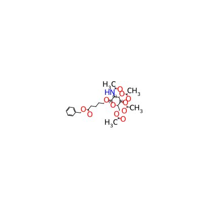 CC(=O)N[C@H]1C(OC(C)=O)[C@@H](OC(C)=O)C(COC(C)=O)O[C@H]1OCCCCC(=O)OCc1ccccc1